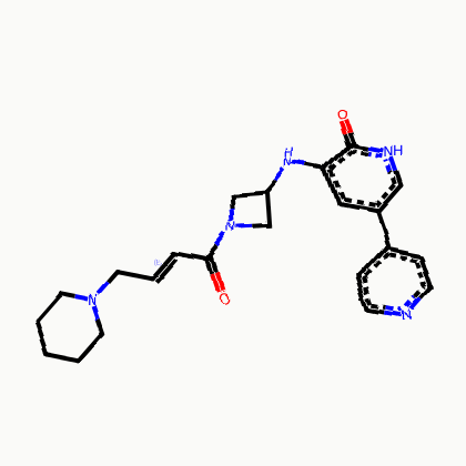 O=C(/C=C/CN1CCCCC1)N1CC(Nc2cc(-c3ccncc3)c[nH]c2=O)C1